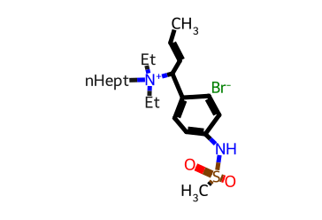 CC=CC(c1ccc(NS(C)(=O)=O)cc1)[N+](CC)(CC)CCCCCCC.[Br-]